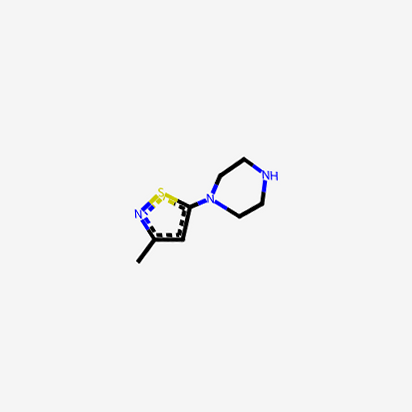 Cc1cc(N2CCNCC2)sn1